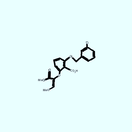 COC=C(Oc1cccc(OCc2cccc(Cl)c2)c1C(=O)O)C(=O)OC